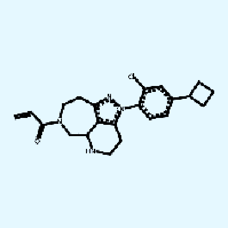 C=CC(=O)N1CCc2nn(-c3ccc(C4CCC4)cc3Cl)c3c2C(C1)NCC3